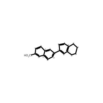 O=C(O)c1ccc2cc(-c3ccc4c(c3)CCCC4)ccc2c1